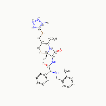 COc1ccccc1CN[C@H](C(=O)NC1C(=O)N2C(C(=O)O)=C(CSc3nnnn3C)CS[C@@H]12)c1ccccc1